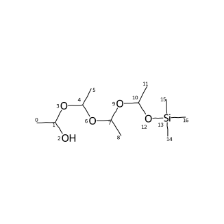 CC(O)OC(C)OC(C)OC(C)O[Si](C)(C)C